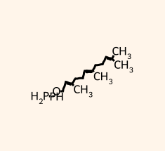 CC(C)=CCC/C(C)=C/CC/C(C)=C/COPP